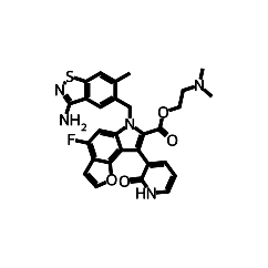 Cc1cc2snc(N)c2cc1Cn1c(C(=O)OCCN(C)C)c(-c2ccc[nH]c2=O)c2c3occc3c(F)cc21